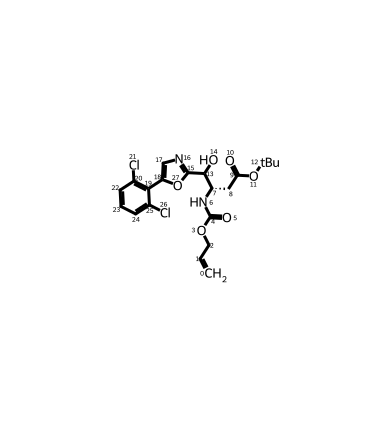 C=CCOC(=O)N[C@@H](CC(=O)OC(C)(C)C)C(O)c1ncc(-c2c(Cl)cccc2Cl)o1